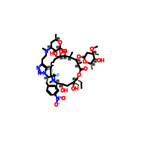 CC[C@H]1OC(=O)[C@H](C)[C@@H](O[C@H]2C[C@@](C)(OC)[C@@H](O)[C@H](C)O2)[C@H](C)[C@@H](O[C@@H]2O[C@H](C)C[C@H](N(C)CCc3cn([C@@H](Cc4ccc([N+](=O)[O-])cc4)C(F)(F)F)nn3)[C@H]2O)[C@](C)(O)CC[C@@H](C)CN(C)[C@H](C)[C@@H](O)C[C@]1(C)O